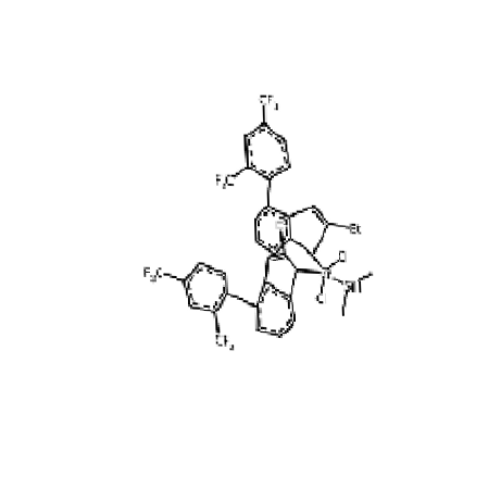 CCC1=Cc2c(-c3ccc(C(F)(F)F)cc3C(F)(F)F)cccc2[CH]1[Zr]([Cl])([Cl])([CH]1C(CC)=Cc2c(-c3ccc(C(F)(F)F)cc3C(F)(F)F)cccc21)[SiH](C)C